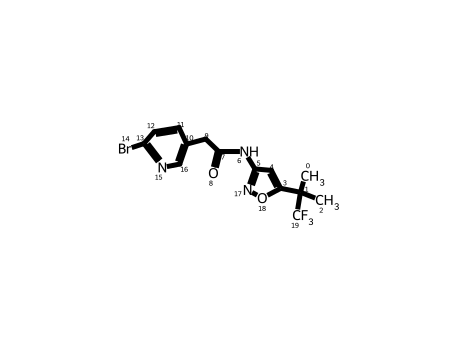 CC(C)(c1cc(NC(=O)Cc2ccc(Br)nc2)no1)C(F)(F)F